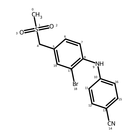 CS(=O)(=O)Cc1ccc(Nc2ccc(C#N)cc2)c(Br)c1